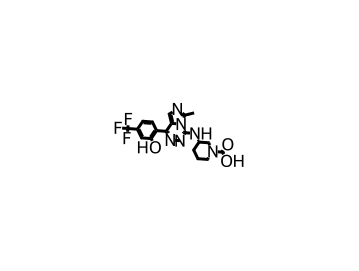 Cc1ncc2c(-c3ccc(C(F)(F)F)cc3O)nnc(N[C@@H]3CCCN(C(=O)O)C3)n12